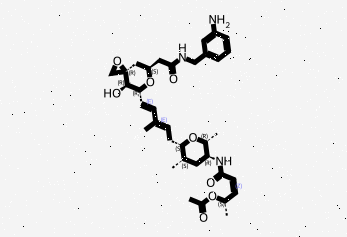 CC(=O)O[C@@H](C)/C=C\C(=O)N[C@@H]1C[C@H](C)[C@H](C/C=C(C)/C=C/[C@H]2O[C@H](CC(=O)NCc3cccc(N)c3)C[C@@]3(CO3)[C@@H]2O)O[C@@H]1C